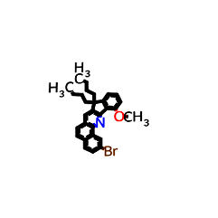 CCCCC1(CCCC)c2cc3ccc4ccc(Br)cc4c3nc2-c2c(OC)cccc21